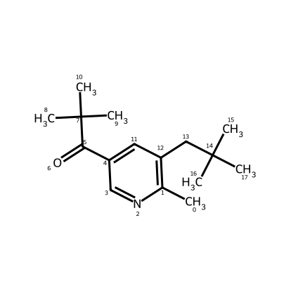 Cc1ncc(C(=O)C(C)(C)C)cc1CC(C)(C)C